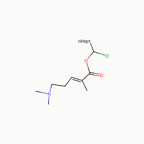 CCCCCCCC(Cl)OC(=O)C(C)=CCCN(C)C